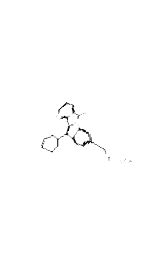 COOCc1ccc2c(C3CCCCC3)c3n(c2c1)C(O)c1cccnc1-3